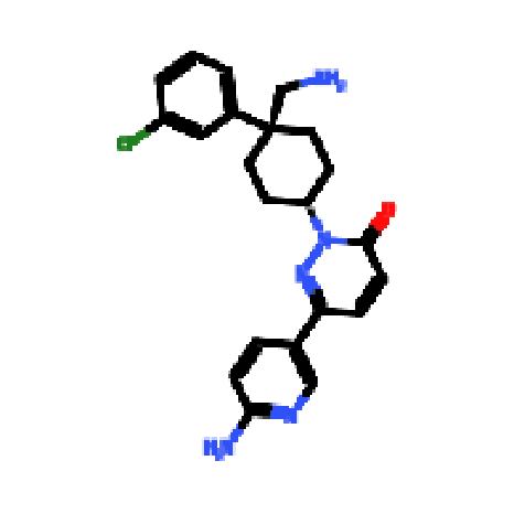 NC[C@]1(c2cccc(Cl)c2)CC[C@@H](n2nc(-c3ccc(N)nc3)ccc2=O)CC1